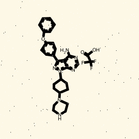 Nc1ncnc2c1c(-c1ccc(Oc3ccccc3)cc1)nn2C1CCC(N2CCNCC2)CC1.O=C(O)C(F)(F)F